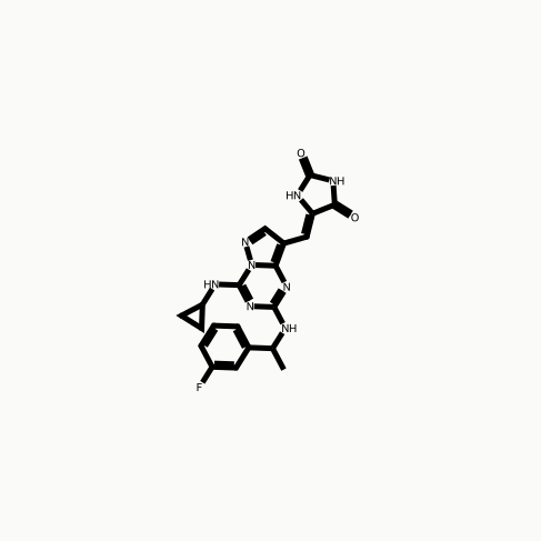 CC(Nc1nc(NC2CC2)n2ncc(/C=C3\NC(=O)NC3=O)c2n1)c1cccc(F)c1